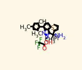 CCCC(N)(c1cccs1)c1c2cccc(-c3c(C)cc(C)cc3C)c2nn1C.O=C(O)C(F)(F)F